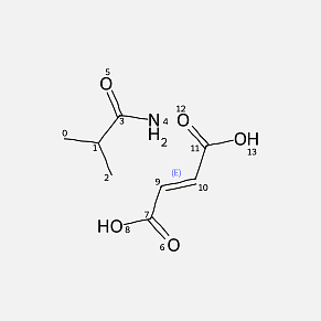 CC(C)C(N)=O.O=C(O)/C=C/C(=O)O